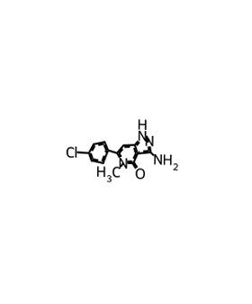 Cn1c(-c2ccc(Cl)cc2)cc2[nH]nc(N)c2c1=O